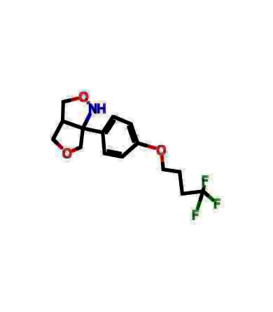 FC(F)(F)CCCOc1ccc(C23COCC2CON3)cc1